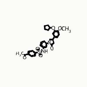 COc1ccc(C2CC(=O)N(c3cccc(NS(=O)(=O)c4ccc(C(C)=O)cc4)c3)C2)cc1OC1CCCC1